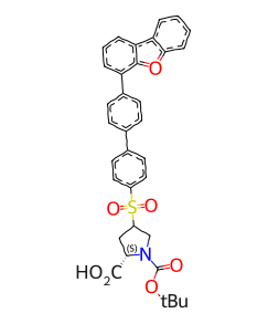 CC(C)(C)OC(=O)N1CC(S(=O)(=O)c2ccc(-c3ccc(-c4cccc5c4oc4ccccc45)cc3)cc2)C[C@H]1C(=O)O